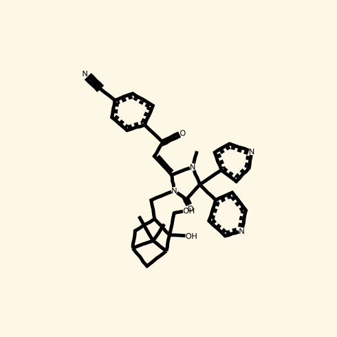 CN1C(=CC(=O)c2ccc(C#N)cc2)N(CC2CC3CC(C3(C)C)C2(O)CO)C(=O)C1(c1ccncc1)c1ccncc1